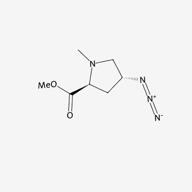 COC(=O)[C@@H]1C[C@@H](N=[N+]=[N-])CN1C